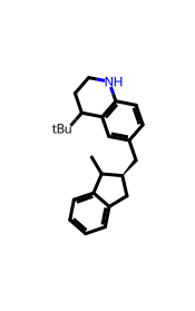 CC1c2ccccc2C[C@@H]1Cc1ccc2c(c1)C(C(C)(C)C)CCN2